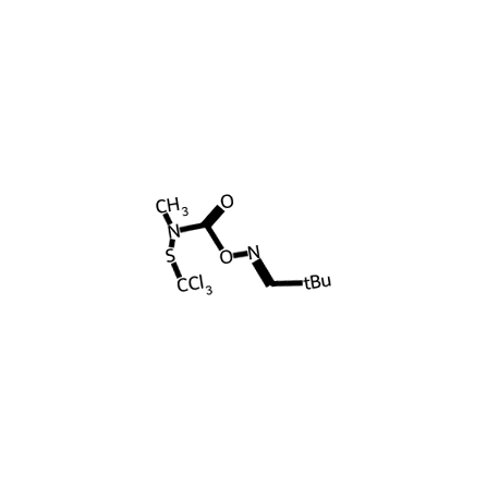 CN(SC(Cl)(Cl)Cl)C(=O)ON=CC(C)(C)C